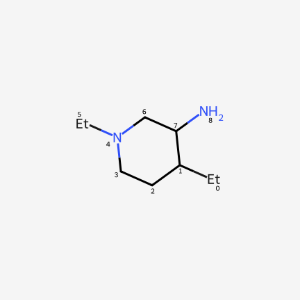 CCC1CCN(CC)CC1N